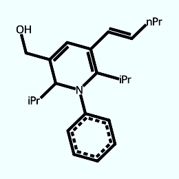 CCCC=CC1=C(C(C)C)N(c2ccccc2)C(C(C)C)C(CO)=C1